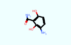 NC(=O)c1c(O)ccc(N)c1O